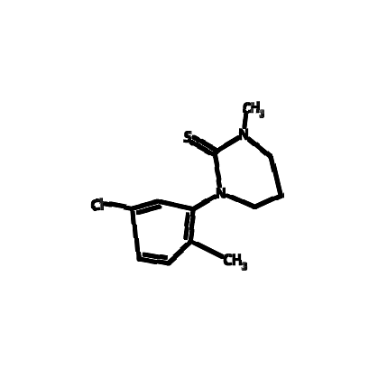 Cc1ccc(Cl)cc1N1CCCN(C)C1=S